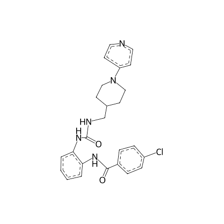 O=C(NCC1CCN(c2ccncc2)CC1)Nc1ccccc1NC(=O)c1ccc(Cl)cc1